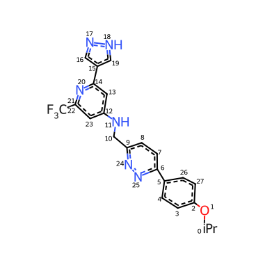 CC(C)Oc1ccc(-c2ccc(CNc3cc(-c4cn[nH]c4)nc(C(F)(F)F)c3)nn2)cc1